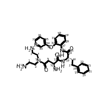 NCCN(CCN)C(=O)C[C@H](N)C(=O)N[C@@H](CCc1ccccc1)C(=O)Nc1ccccc1Oc1cccnc1